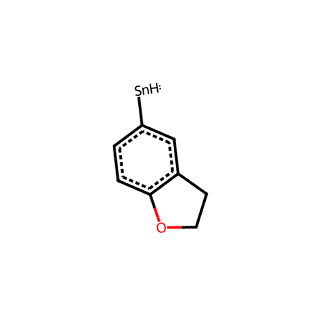 [SnH][c]1ccc2c(c1)CCO2